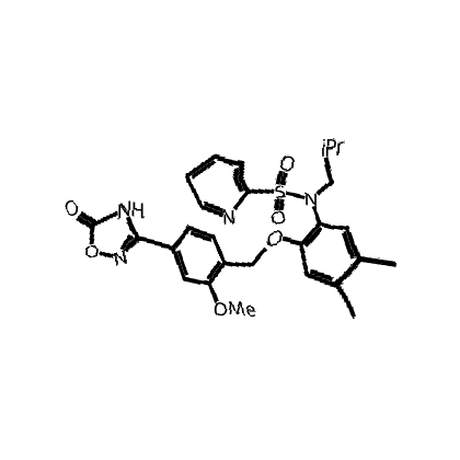 COc1cc(-c2noc(=O)[nH]2)ccc1COc1cc(C)c(C)cc1N(CC(C)C)S(=O)(=O)c1ccccn1